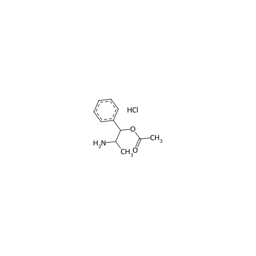 CC(=O)OC(c1ccccc1)C(C)N.Cl